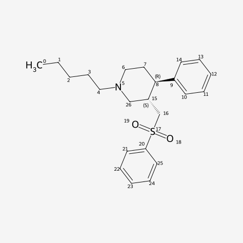 CCCCCN1CC[C@@H](c2ccccc2)[C@H](CS(=O)(=O)c2ccccc2)C1